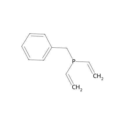 C=CP(C=C)Cc1ccccc1